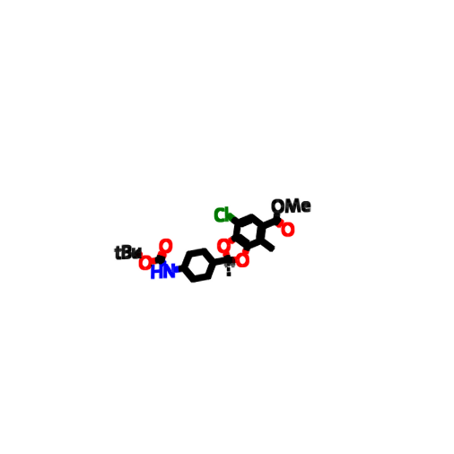 COC(=O)c1cc(Cl)c2c(c1C)O[C@@](C)(C1CCC(NC(=O)OC(C)(C)C)CC1)O2